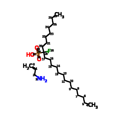 C=CCN.CCCCCCCCCCCCCCC(F)(CCCCCCCC)S(=O)(=O)O